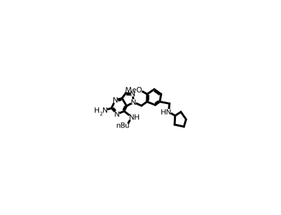 CCCCNc1nc(N)nc2cnn(Cc3cc(CNC4CCCC4)ccc3OC)c12